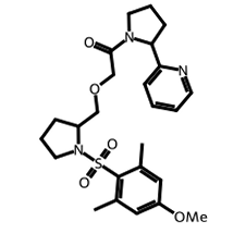 COc1cc(C)c(S(=O)(=O)N2CCCC2COCC(=O)N2CCCC2c2ccccn2)c(C)c1